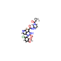 C=CC(=O)N1CCC[C@@H](NC(=O)c2sc3nccc4c3c2NC(=O)N4c2c(Cl)ccc3c2OCO3)C1